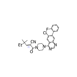 CCC(C)(C)/C=C(\C#N)C(=O)N1CCN(c2ncnc3cc(-c4ccccc4F)c(Cl)cc23)CC1